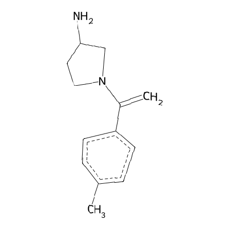 C=C(c1ccc(C)cc1)N1CCC(N)C1